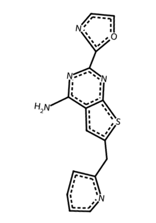 Nc1nc(-c2ncco2)nc2sc(Cc3ccccn3)cc12